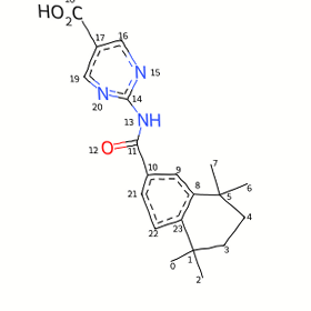 CC1(C)CCC(C)(C)c2cc(C(=O)Nc3ncc(C(=O)O)cn3)ccc21